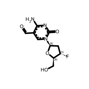 Nc1nc(=O)n([C@H]2C[C@H](F)[C@@H](CO)O2)cc1C=O